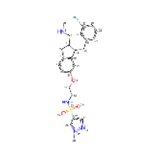 CNCC1Cc2ccc(OCCNS(=O)(=O)c3cnn(C)c3)cc2C1Cc1cccc(F)c1